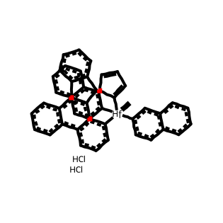 Cl.Cl.[CH2]=[Hf]([C]1=CC=CC1)([c]1ccc2ccccc2c1)([c]1ccc2ccccc2c1)[c]1cccc2c1c1c(c3ccccc32)-c2ccccc2C1